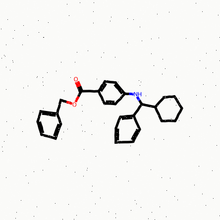 O=C(OCc1ccccc1)c1ccc(NC(c2ccccc2)C2CCCCC2)cc1